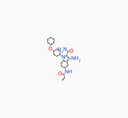 C=CC(=O)Nc1ccc2c(c1)c(N)c(C(N)=O)n2-c1ccc(Oc2ccccc2)cc1